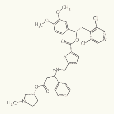 COc1ccc([C@H](Cc2c(Cl)cncc2Cl)OC(=O)c2ccc(CNC(CC(=O)O[C@@H]3CCN(C)C3)c3ccccc3)s2)cc1OC